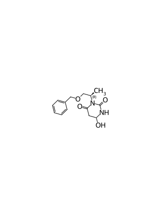 C[C@H](COCc1ccccc1)N1C(=O)CC(O)NC1=O